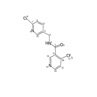 O=C(NCc1ccc(Cl)nc1)c1cnccc1C(F)(F)F